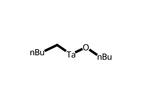 CCCC[CH2][Ta][O]CCCC